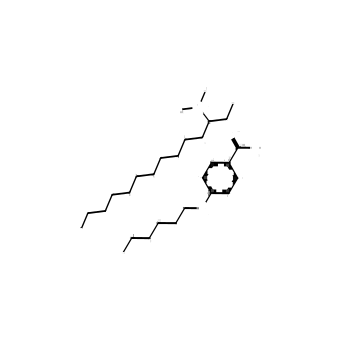 CCCCCCCCCCC[CH](CC)[Al]([CH3])[CH3].CCCCCCOc1ccc(C(=O)O)cc1